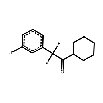 O=C(C1CCCCC1)C(F)(F)c1cccc(Cl)c1